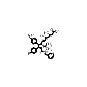 CC(C)n1c(/C=C/[C@@H](O)C[C@@H](O)CC(=O)[O-])c(-c2ccc(F)cc2)c(-c2ccc(F)cc2)c1C(=O)NCc1cccnc1.[Na+]